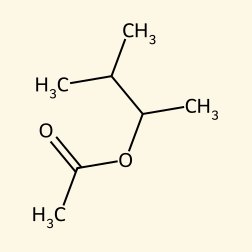 CC(=O)OC(C)C(C)C